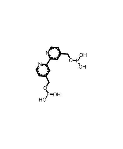 OP(O)OCc1ccnc(-c2cc(COP(O)O)ccn2)c1